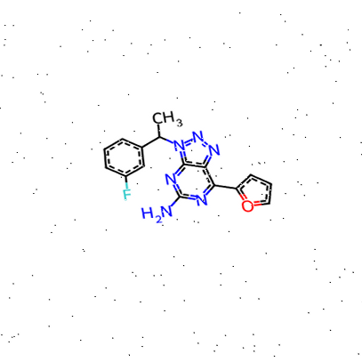 CC(c1cccc(F)c1)n1nnc2c(-c3ccco3)nc(N)nc21